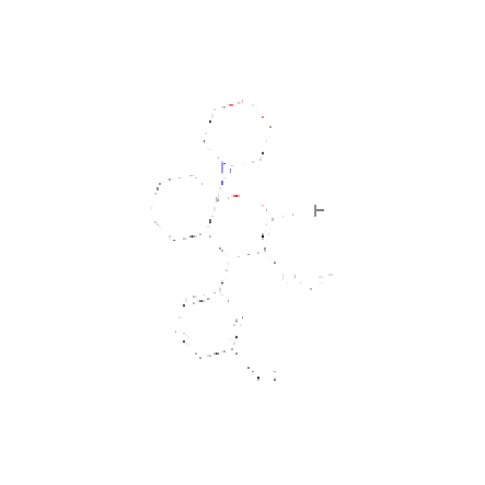 CCOC(=O)C1=C(C)OC2(N3CCOCC3)CCCCC2C1c1cccc([N+](=O)[O-])c1